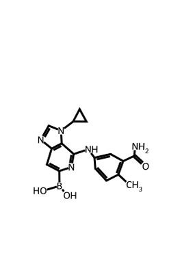 Cc1ccc(Nc2nc(B(O)O)cc3ncn(C4CC4)c23)cc1C(N)=O